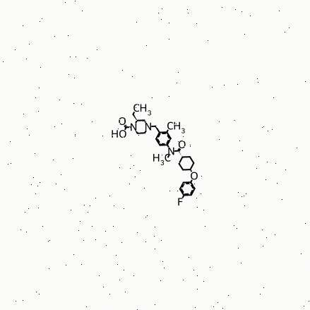 CC[C@H]1CN(Cc2ccc(N(C)C(=O)[C@H]3CC[C@H](Oc4ccc(F)cc4)CC3)cc2C)CCN1C(=O)O